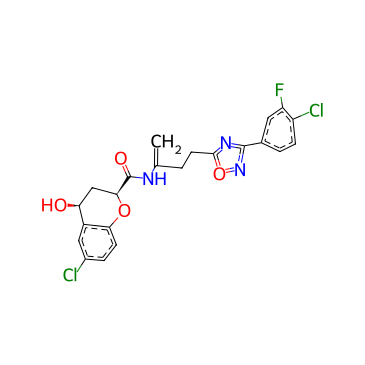 C=C(CCc1nc(-c2ccc(Cl)c(F)c2)no1)NC(=O)[C@@H]1C[C@H](O)c2cc(Cl)ccc2O1